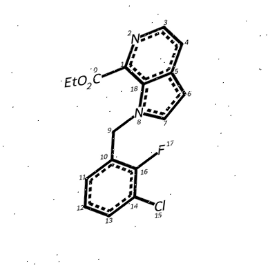 CCOC(=O)c1nccc2ccn(Cc3cccc(Cl)c3F)c12